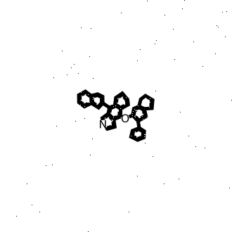 C1=Cc2cc(-c3ccccc3)c(Oc3c4ccccc4c(-c4ccc5ccccc5c4)c4cnccc34)cc2CC1